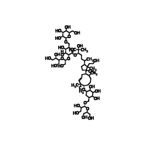 CC(CCC(OC1O[C@H](CO[C@@H]2OC(CO)C(O)C(O)C2O)C(O)[C@H](O)C1OC(CO)OC(CO)C(O)CO)C(C)(C)O)C1CCC(C)([C@@H]2C/C=C/C(C)(C)[C@@H](O[C@@H]3C[C@H](CO[C@H](OC(CO)CO)C(O)CO)C(O)C(O)C3O)CCCC2C)C1(C)CCO